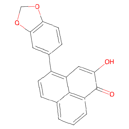 O=C1C(O)=Cc2c(-c3ccc4c(c3)OCO4)ccc3cccc1c23